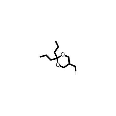 CCCC1(CCC)OCC(CI)CO1